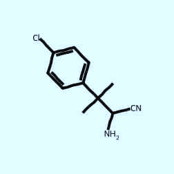 CC(C)(c1ccc(Cl)cc1)C(N)C#N